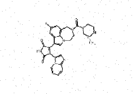 C[C@@H]1CN(C(=O)N2CCn3cc(C4=C(c5cnc6ccccn56)C(=O)NC4=O)c4cc(F)cc(c43)C2)CCN1